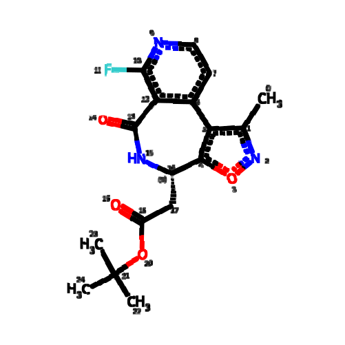 Cc1noc2c1-c1ccnc(F)c1C(=O)N[C@H]2CC(=O)OC(C)(C)C